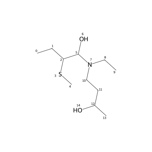 CCC(SC)C(O)N(CC)CCC(C)O